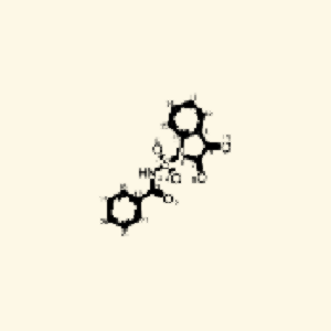 O=C(NS(=O)(=O)N1C(=O)C(=O)c2ccccc21)c1ccccc1